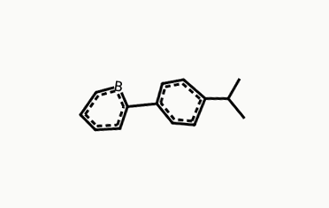 CC(C)c1ccc(-c2bcccc2)cc1